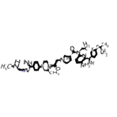 CCN(C(=O)[C@@H]1CCN(CC(=O)N2CCN(c3ccc(C(=N)/N=C\NC)cc3)C[C@@H]2C)C1)c1ccc(N)c(C(=N)c2ccc(OC(C)C)nc2)n1